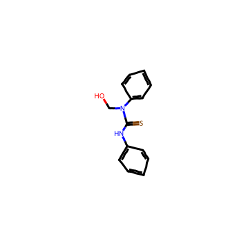 OCN(C(=S)Nc1ccccc1)c1ccccc1